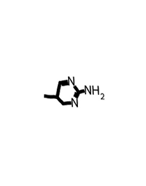 CC1C=NC(N)=NC1